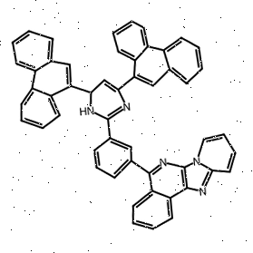 C1=C(c2cc3ccccc3c3ccccc23)N=C(c2cccc(-c3nc4c(nc5ccccn54)c4ccccc34)c2)NC1c1cc2ccccc2c2ccccc12